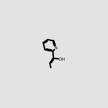 CC=C(O)c1ccccn1